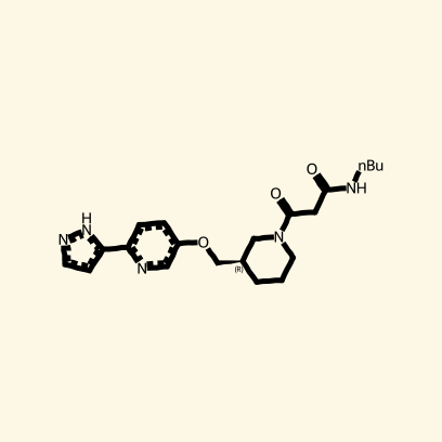 CCCCNC(=O)CC(=O)N1CCC[C@@H](COc2ccc(-c3ccn[nH]3)nc2)C1